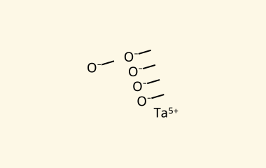 C[O-].C[O-].C[O-].C[O-].C[O-].[Ta+5]